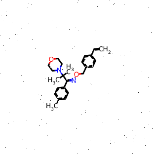 C=Cc1ccc(CON=C(c2ccc(C)cc2)C(C)(C)N2CCOCC2)cc1